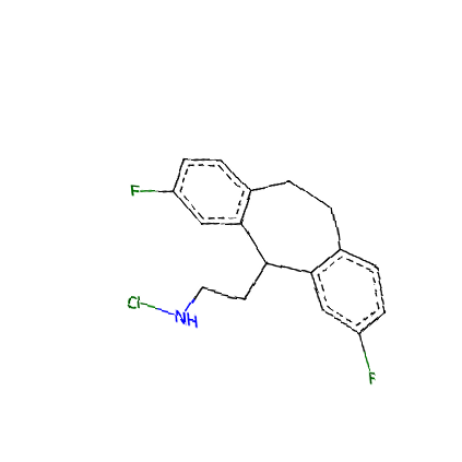 Fc1ccc2c(c1)C(CCNCl)c1cc(F)ccc1CC2